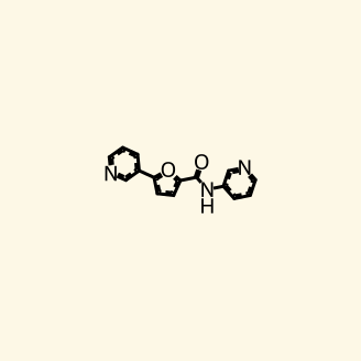 O=C(Nc1cccnc1)c1ccc(-c2cccnc2)o1